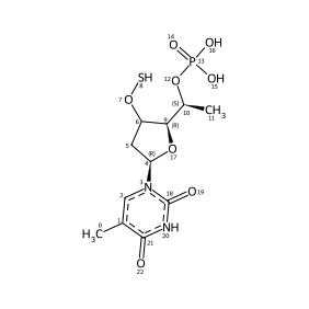 Cc1cn([C@H]2CC(OS)[C@@H]([C@H](C)OP(=O)(O)O)O2)c(=O)[nH]c1=O